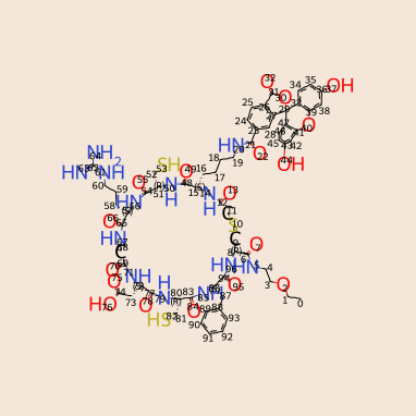 CCOCCNC(=O)[C@@H]1CSCC(=O)N[C@@H](CCCCNC(=O)c2ccc3c(c2)C2(OC3=O)c3ccc(O)cc3Oc3cc(O)ccc32)C(=O)N[C@@H](CS)C(=O)N[C@@H](CCCNC(=N)N)C(=O)NCC(=O)N[C@@H](CC(=O)O)C(=O)N[C@@H](CS)C(=O)N[C@@H](Cc2ccccc2)C(=O)N1